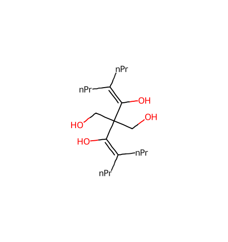 CCCC(CCC)=C(O)C(CO)(CO)C(O)=C(CCC)CCC